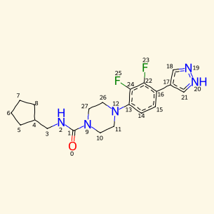 O=C(NCC1CCCC1)N1CCN(c2ccc(-c3cn[nH]c3)c(F)c2F)CC1